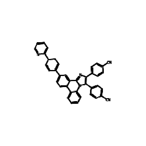 N#Cc1ccc(-c2nc3c4cc(C5=CCC(c6ccccn6)C=C5)ccc4c4ccccc4n3c2-c2ccc(C#N)cc2)cc1